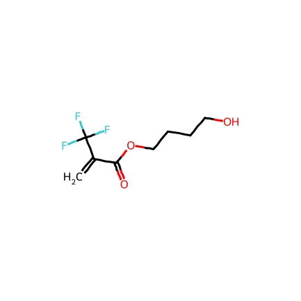 C=C(C(=O)OCCCCO)C(F)(F)F